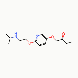 CCC(=O)COc1ccc(OCCNC(C)C)nc1